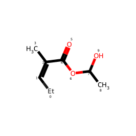 CCC=C(C)C(=O)OC(C)O